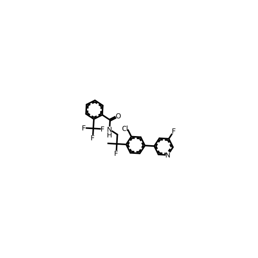 CC(F)(CNC(=O)c1ccccc1C(F)(F)F)c1ccc(-c2cncc(F)c2)cc1Cl